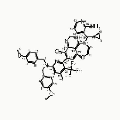 COc1ccc(CN(Cc2ccc(OC)cc2)c2cc(C)c(C(F)(F)F)c(-c3cc4c5c(c3Cl)=NCNC=5N(C(c3cccnc3N)C3CC3)C=CO4)n2)cc1